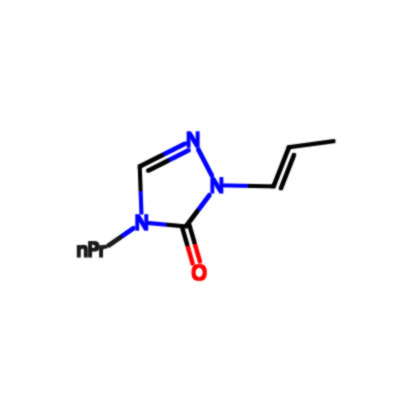 C/C=C/n1ncn(CCC)c1=O